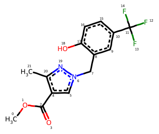 COC(=O)c1cn(Cc2cc(C(F)(F)F)ccc2O)nc1C